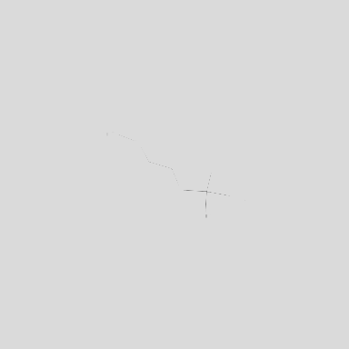 CCCOCCOC(C)(C)C(C)C